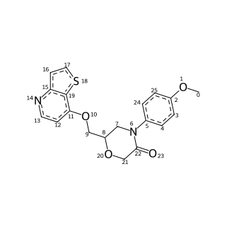 COc1ccc(N2CC(COc3ccnc4ccsc34)OCC2=O)cc1